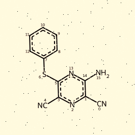 N#Cc1nc(C#N)c(Sc2ccccc2)nc1N